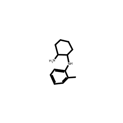 Cc1ccccc1NC1CCCCC1N